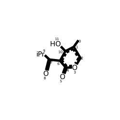 Cc1coc(=O)c(C(=O)C(C)C)c1O